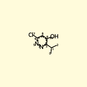 CC(C)c1nnc(Cl)cc1O